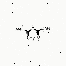 [CH2]C(OC)OC(=O)OC